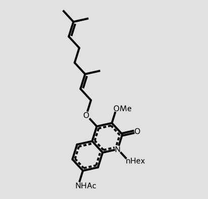 CCCCCCn1c(=O)c(OC)c(OC/C=C(\C)CCC=C(C)C)c2ccc(NC(C)=O)cc21